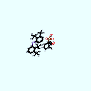 CC(C)(C)c1cccc([I+]c2cccc(C(C)(C)C)c2C(C)(C)C)c1C(C)(C)C.CC12CCC(C(S(=O)(=O)[O-])C1=O)C2(C)C